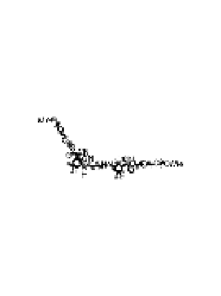 COCCOCCOCCOC(=O)/C(C#N)=C1\CC(C)(C)CC(NCCCCCCNC2=C(C#N)/C(=C(\C#N)C(=O)OCCOCCOCCOC)CC(C)(C)C2)=C1C#N